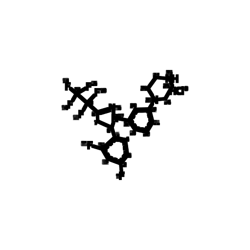 Cl.Fc1ccc(C2CC(C(F)(F)C(F)(F)F)=NN2c2cccc(N3CCNCC3)c2)c(F)c1